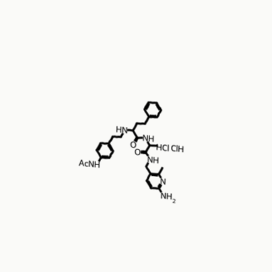 CC(=O)Nc1ccc(CCNC(CCc2ccccc2)C(=O)NC(C)C(=O)NCc2ccc(N)nc2C)cc1.Cl.Cl